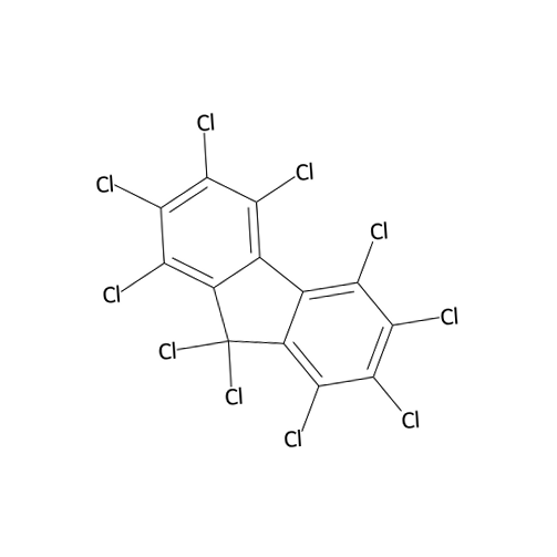 Clc1c(Cl)c(Cl)c2c(c1Cl)-c1c(Cl)c(Cl)c(Cl)c(Cl)c1C2(Cl)Cl